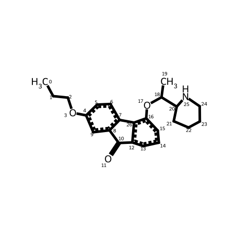 CCCOc1ccc2c(c1)C(=O)c1cccc(OC(C)C3CCCCN3)c1-2